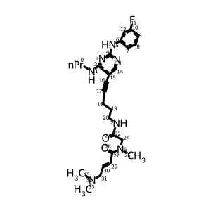 CCCNc1nc(Nc2cccc(F)c2)ncc1C#CCCCNC(=O)CN(C)C(=O)C=CCN(C)C